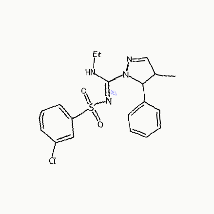 CCN/C(=N\S(=O)(=O)c1cccc(Cl)c1)N1N=CC(C)C1c1ccccc1